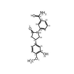 COc1ccc([C@H]2CC(=O)N(c3cccc(C(N)=O)c3)C2)cc1O